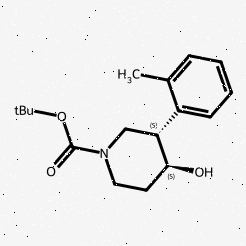 Cc1ccccc1[C@H]1CN(C(=O)OC(C)(C)C)CC[C@@H]1O